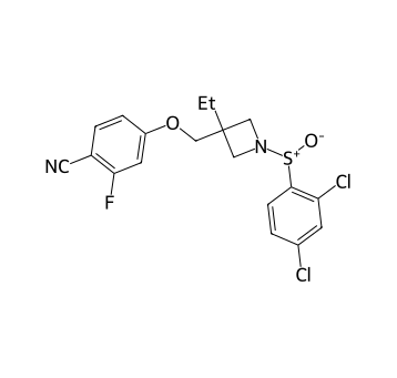 CCC1(COc2ccc(C#N)c(F)c2)CN([S+]([O-])c2ccc(Cl)cc2Cl)C1